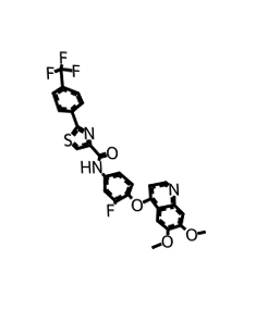 COc1cc2nccc(Oc3ccc(NC(=O)c4csc(-c5ccc(C(F)(F)F)cc5)n4)cc3F)c2cc1OC